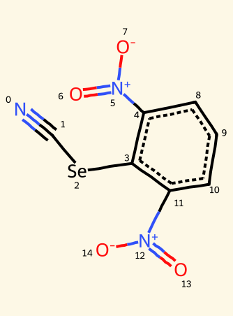 N#C[Se]c1c([N+](=O)[O-])cccc1[N+](=O)[O-]